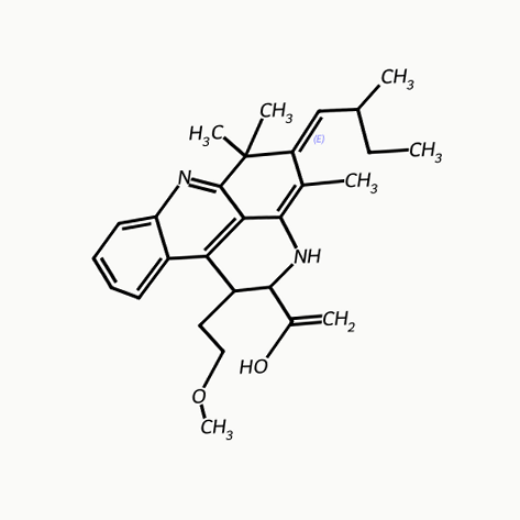 C=C(O)C1NC2=C(C)/C(=C\C(C)CC)C(C)(C)c3nc4ccccc4c(c32)C1CCOC